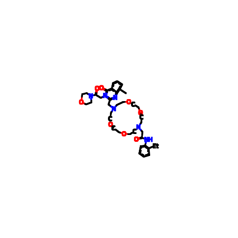 CCc1ccccc1NC(=O)CN1CCOCCOCCN(Cc2nc3c(C)cccc3c(=O)n2CC(=O)N2CCOCC2)CCOCCOCC1